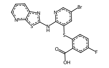 O=C(O)c1cc(F)ccc1Sc1cc(Br)cnc1Nc1nc2cccnc2s1